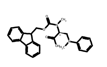 CN(C[C@@H](C(=O)O)N(C)C(=O)OCC1c2ccccc2-c2ccccc21)c1ccccc1